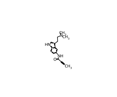 CC#CC(=O)Nc1ccc2[nH]cc(CCN(C)C)c2c1